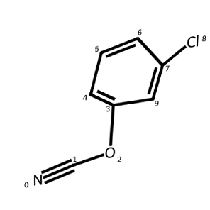 N#COc1cccc(Cl)c1